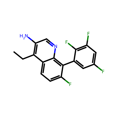 CCc1c(N)cnc2c(-c3cc(F)cc(F)c3F)c(F)ccc12